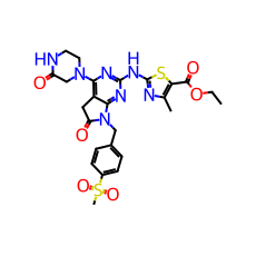 CCOC(=O)c1sc(Nc2nc(N3CCNC(=O)C3)c3c(n2)N(Cc2ccc(S(C)(=O)=O)cc2)C(=O)C3)nc1C